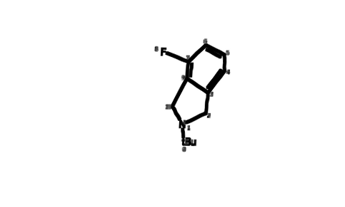 CC(C)(C)N1Cc2cccc(F)c2C1